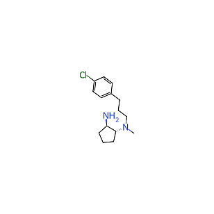 CN(CCCc1ccc(Cl)cc1)[C@@H]1CCC[C@H]1N